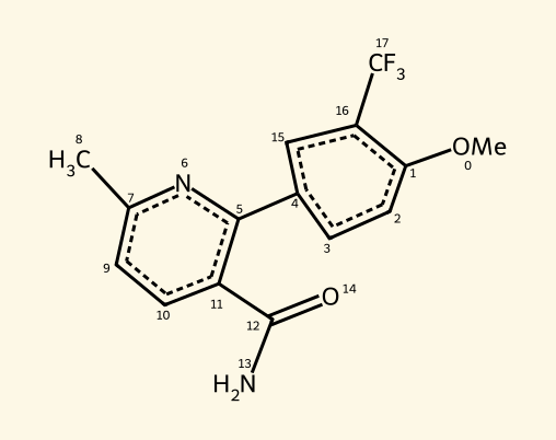 COc1ccc(-c2nc(C)ccc2C(N)=O)cc1C(F)(F)F